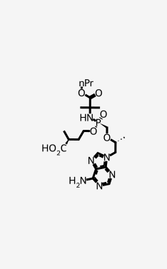 CCCOC(=O)C(C)(C)N[P@@](=O)(CO[C@H](C)Cn1cnc2c(N)ncnc21)OCC[C@H](C)C(=O)O